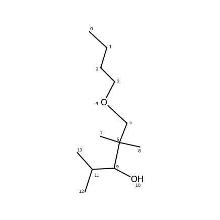 CCCCOCC(C)(C)C(O)C(C)C